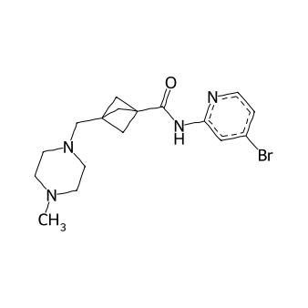 CN1CCN(CC23CC(C(=O)Nc4cc(Br)ccn4)(C2)C3)CC1